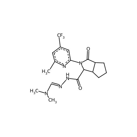 Cc1cc(C(F)(F)F)cc(N2C(=O)C3CCCC3C2C(=O)NN=CN(C)C)n1